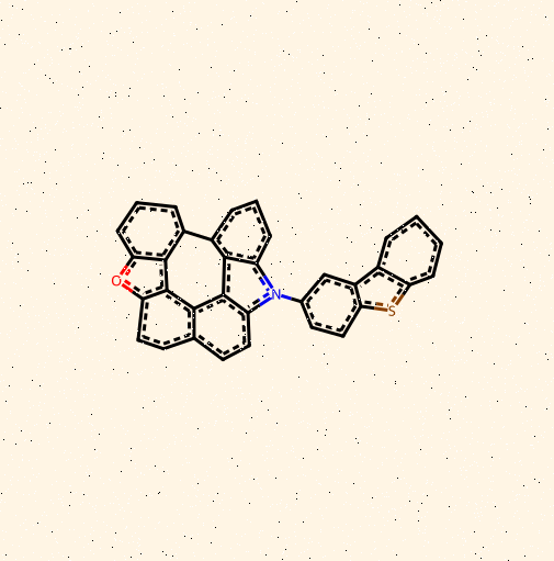 c1cc2c3c(c1)oc1ccc4ccc5c(c6c-2cccc6n5-c2ccc5sc6ccccc6c5c2)c4c13